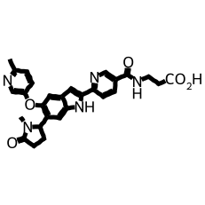 Cc1ccc(Oc2cc3cc(-c4ccc(C(=O)NCCC(=O)O)cn4)[nH]c3cc2C2CCC(=O)N2C)cn1